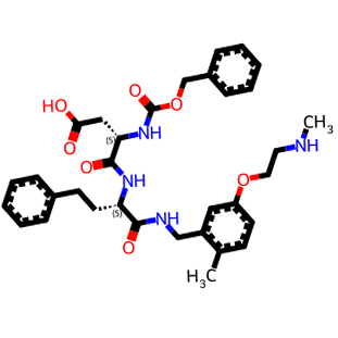 CNCCOc1ccc(C)c(CNC(=O)[C@H](CCc2ccccc2)NC(=O)[C@H](CC(=O)O)NC(=O)OCc2ccccc2)c1